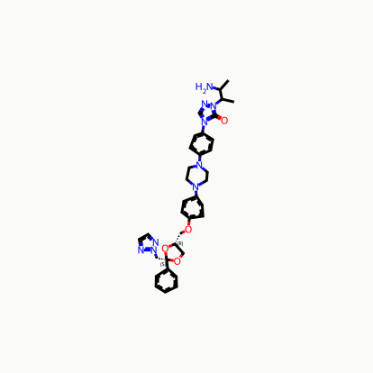 CC(N)C(C)n1ncn(-c2ccc(N3CCN(c4ccc(OC[C@@H]5CO[C@@](Cn6nccn6)(c6ccccc6)O5)cc4)CC3)cc2)c1=O